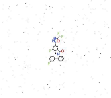 O=C1c2cc(-c3nnc(C(F)F)o3)cc(F)c2CN1c1ccccc1-c1cccc(F)c1